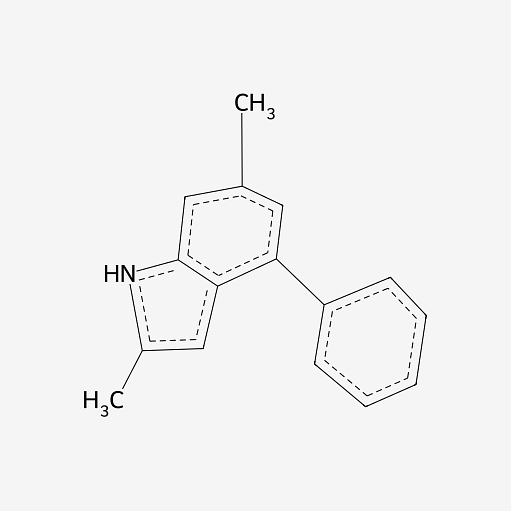 Cc1cc(-c2ccccc2)c2cc(C)[nH]c2c1